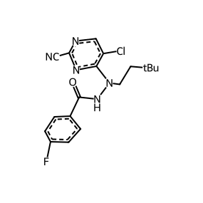 CC(C)(C)CCN(NC(=O)c1ccc(F)cc1)c1nc(C#N)ncc1Cl